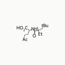 CCC(C)(CC(C)(C)C)C(=O)NC(CCC(C)=O)C(=O)O